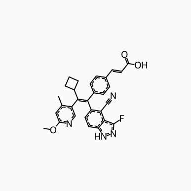 COc1cc(C)c(C(=C(c2ccc(C=CC(=O)O)cc2)c2ccc3[nH]nc(F)c3c2C#N)C2CCC2)cn1